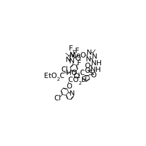 CCOC(=O)C(Cl)Cc1cc(-n2nc(C)n(C(F)F)c2=O)c(F)cc1Cl.COc1nc(C)nc(NC(=O)NS(=O)(=O)c2ccsc2C(=O)O)n1.O=C(O)COc1ccc(Cl)c2cccnc12